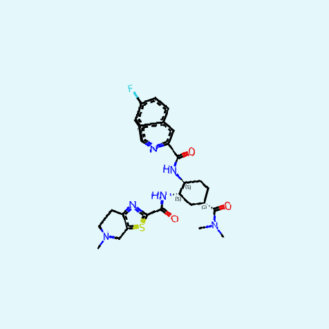 CN1CCc2nc(C(=O)N[C@H]3C[C@@H](C(=O)N(C)C)CC[C@@H]3NC(=O)c3cc4ccc(F)cc4cn3)sc2C1